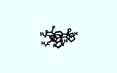 Cc1cc2cc(C(=O)N3[C@H]4CC[C@H](c5cc(C(F)F)nc6ncnn56)[C@@H]3CC4)ccc2n1C